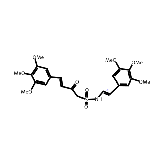 COc1cc(C=CC(=O)CS(=O)(=O)N/C=C/c2cc(OC)c(OC)c(OC)c2)cc(OC)c1OC